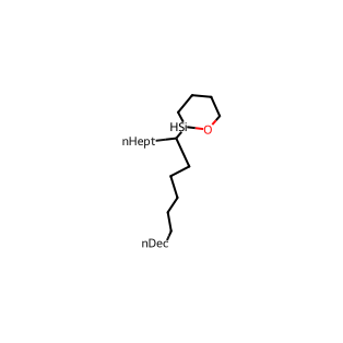 CCCCCCCCCCCCCCCC(CCCCCCC)[SiH]1CCCCO1